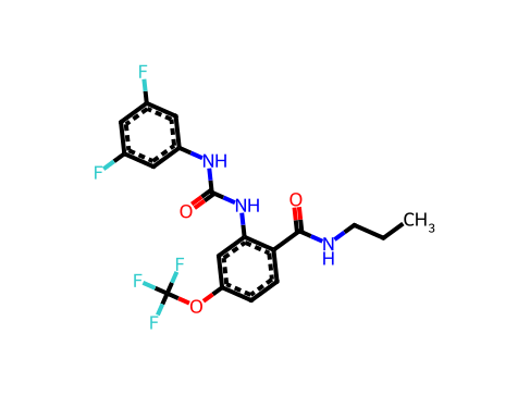 CCCNC(=O)c1ccc(OC(F)(F)F)cc1NC(=O)Nc1cc(F)cc(F)c1